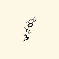 O=C(N[C@@H]1CC(=O)N(c2ccc(N3CCOCC3=O)c(Cl)c2)C1)c1ccc(Br)s1